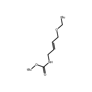 CC(C)(C)COCC=CCNC(=O)OC(C)(C)C